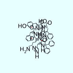 NCCCC[C@H](NC(=O)[C@H](Cc1c[nH]cn1)NC(c1ccccc1)(c1ccccc1)c1ccccc1)C(=O)N[C@@H](Cc1ccccc1)C(=O)N[C@@H](Cc1ccc(O)cc1)C(=O)N[C@@H](Cc1c[nH]c2ccccc12)C(=O)O